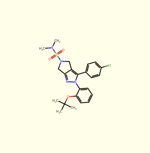 CN(C)S(=O)(=O)N1Cc2nn(-c3ccccc3OC(C)(C)C)c(-c3ccc(Cl)cc3)c2C1